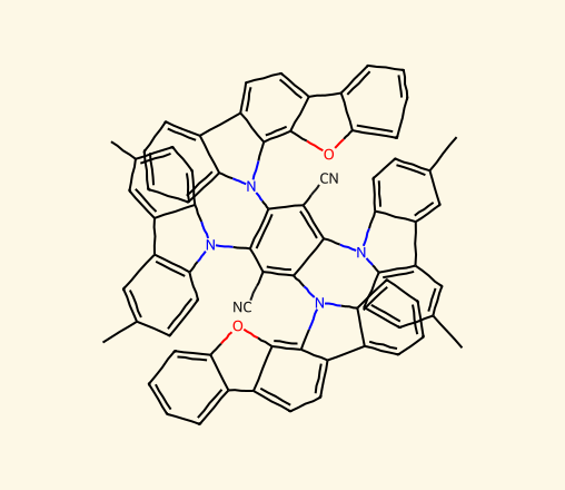 Cc1ccc2c(c1)c1cc(C)ccc1n2-c1c(C#N)c(-n2c3ccccc3c3ccc4c5ccccc5oc4c32)c(-n2c3ccc(C)cc3c3cc(C)ccc32)c(C#N)c1-n1c2ccccc2c2ccc3c4ccccc4oc3c21